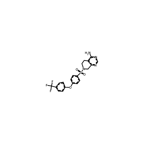 Nc1ncnc2c1CCN(S(=O)(=O)c1ccc(Oc3ccc(C(F)(F)F)cc3)cc1)C2